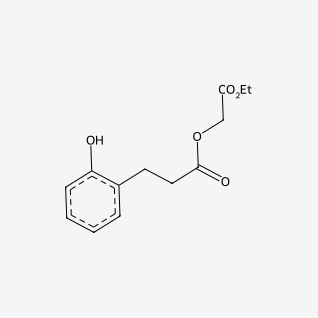 CCOC(=O)COC(=O)CCc1ccccc1O